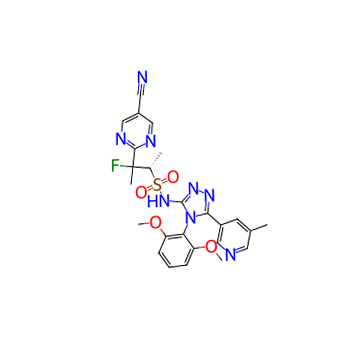 COc1cccc(OC)c1-n1c(NS(=O)(=O)[C@@H](C)C(C)(F)c2ncc(C#N)cn2)nnc1-c1cncc(C)c1